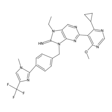 CCn1c(=N)n(Cc2ccc(-c3nc(C(F)(F)F)cn3C)cc2)c2nc(-c3c(OC)ncnc3C3CC3)ncc21